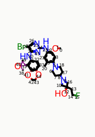 COc1cc(N2CCC(N3CC(O)(CCF)C3)CC2)c(C)cc1Nc1ncc(Br)c(Nc2ccc3c(c2P(C)(C)=O)OCCO3)n1